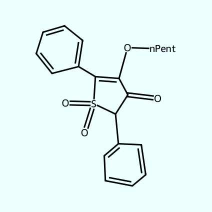 CCCCCOC1=C(c2ccccc2)S(=O)(=O)C(c2ccccc2)C1=O